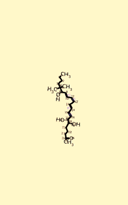 CCCCC(C)(C)[C@H](O)/C=C/C=C\C=C\C=C\[C@@H](O)[C@@H](O)CCCC(C)=O